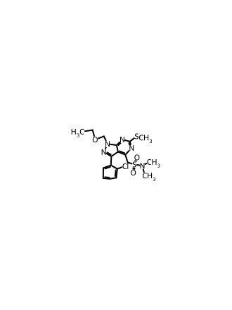 CCOCn1nc(-c2ccccc2Cl)c2c(CS(=O)(=O)N(C)C)nc(SC)nc21